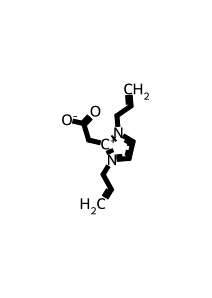 C=CCn1ccn(CC=C)[c+]1CC(=O)[O-]